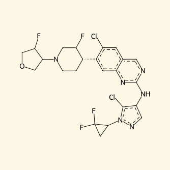 FC1COCC1N1CC[C@@H](c2cc3nc(Nc4cnn(C5CC5(F)F)c4Cl)ncc3cc2Cl)C(F)C1